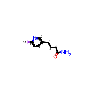 NC(=O)CCCc1ccc(I)nc1